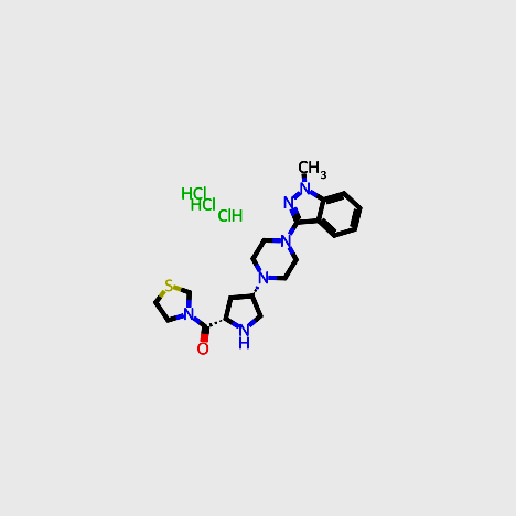 Cl.Cl.Cl.Cn1nc(N2CCN([C@@H]3CN[C@H](C(=O)N4CCSC4)C3)CC2)c2ccccc21